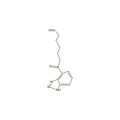 CCCCCCCCCCCCCCCC(=O)c1cccc2[nH]nnc12